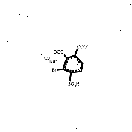 O=C([O-])c1ccc(S(=O)(=O)O)c(Br)c1C(=O)[O-].[Na+].[Na+]